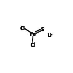 [Li].[S]=[Fe]([Cl])[Cl]